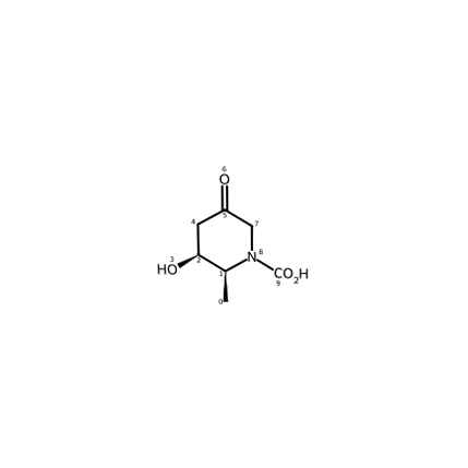 C[C@H]1[C@@H](O)CC(=O)CN1C(=O)O